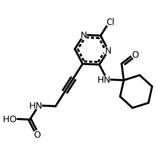 O=CC1(Nc2nc(Cl)ncc2C#CCNC(=O)O)CCCCC1